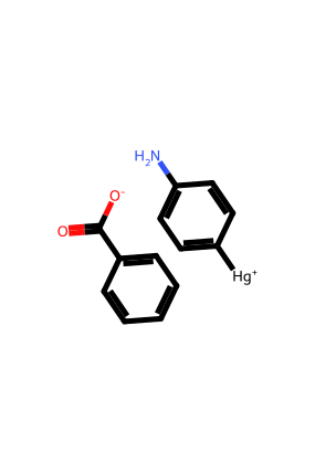 Nc1cc[c]([Hg+])cc1.O=C([O-])c1ccccc1